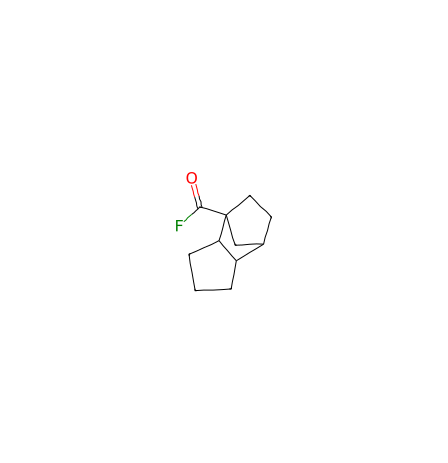 O=C(F)C12CCC(C1)C1CCCC12